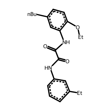 CCCCc1ccc(OCC)c(NC(=O)C(=O)Nc2cccc(CC)c2)c1